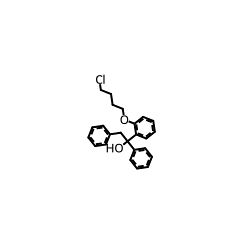 OC(Cc1ccccc1)(c1ccccc1)c1ccccc1OCCCCCl